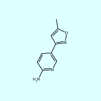 Cc1cc(-c2ccc(N)nc2)no1